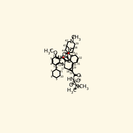 COc1ccc(C2CCCCC2)c2c1cc1n2CC2=C(C(=O)NS(=O)(=O)N(C)C)C2=C2C=CC[C@@H](C(=O)N3C4CN(C)CC3CN(C(C)=O)C4)C21